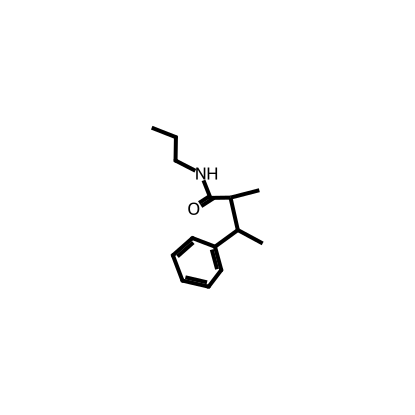 CCCNC(=O)C(C)C(C)c1ccccc1